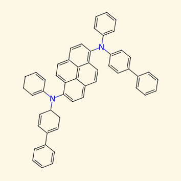 C1=CC(N(c2ccc3ccc4c(N(c5ccccc5)c5ccc(-c6ccccc6)cc5)ccc5ccc2c3c54)C2C=CC(c3ccccc3)=CC2)=CCC1